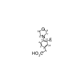 O=C(O)Cc1ccc(N2CCOCC2)c(F)c1